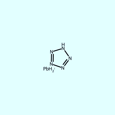 [PbH2].n1nn[nH]n1